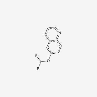 FC(F)Oc1ccc2ncccc2c1